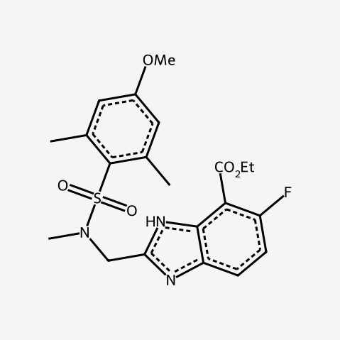 CCOC(=O)c1c(F)ccc2nc(CN(C)S(=O)(=O)c3c(C)cc(OC)cc3C)[nH]c12